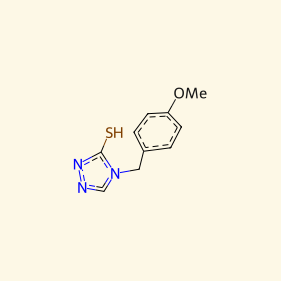 COc1ccc(Cn2cnnc2S)cc1